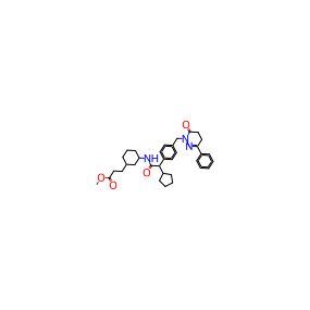 COC(=O)CCC1CCCC(NC(=O)C(c2ccc(CN3N=C(c4ccccc4)CCC3=O)cc2)C2CCCC2)C1